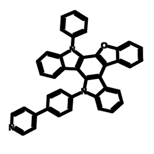 c1ccc(-n2c3ccccc3c3c2c2oc4ccccc4c2c2c4ccccc4n(-c4ccc(-c5ccncc5)cc4)c23)cc1